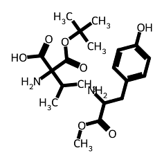 CC(C)C(N)(C(=O)O)C(=O)OC(C)(C)C.COC(=O)C(N)Cc1ccc(O)cc1